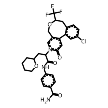 NC(=O)c1ccc(NC(=O)C(CC2CCCCO2)n2cc3c(cc2=O)-c2cc(Cl)ccc2CC(C(F)(F)F)OC3)cc1